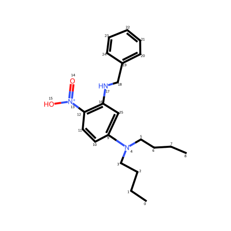 CCCCN(CCCC)c1ccc([N+](=O)O)c(NCc2ccccc2)c1